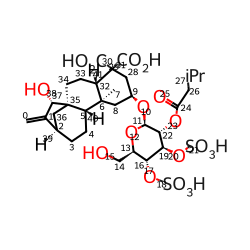 C=C1[C@@H]2CC[C@H]3[C@]4(C)C[C@H](O[C@@H]5O[C@H](CO)[C@@H](OS(=O)(=O)O)[C@H](OS(=O)(=O)O)[C@H]5OC(=O)CC(C)C)CC(C(=O)O)(C(=O)O)[C@H]4CC[C@]3(C2)[C@H]1O